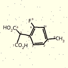 Cc1ccc(C(C(=O)O)C(=O)O)c(F)c1